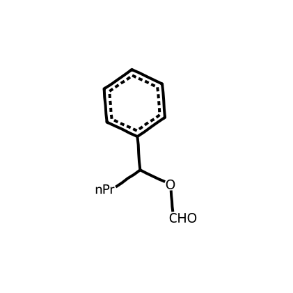 CCCC(OC=O)c1ccccc1